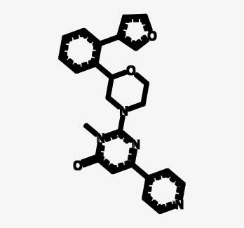 Cn1c(N2CCOC(c3ccccc3-c3ccoc3)C2)nc(-c2ccncc2)cc1=O